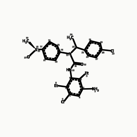 CCc1c(N)cc(Cl)c(CC)c1NC(=O)N(c1ccc([S@+](C)[O-])cc1)C(C)c1ccc(Cl)cc1